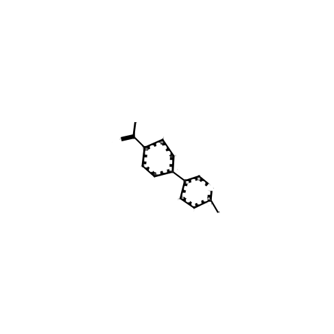 CC(=O)c1ccc(-c2ccc(C)nc2)cc1